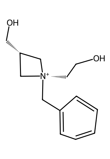 OCC[N@+]1(Cc2ccccc2)C[C@H](CO)C1